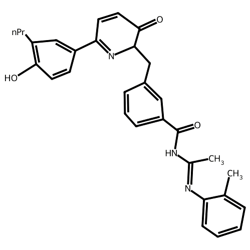 CCCc1cc(C2=NC(Cc3cccc(C(=O)N/C(C)=N/c4ccccc4C)c3)C(=O)C=C2)ccc1O